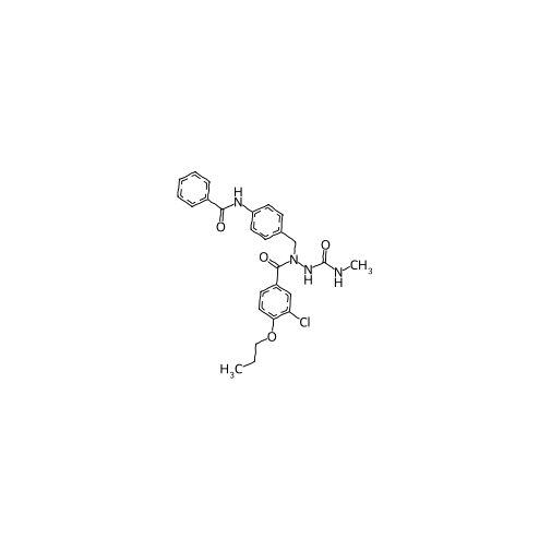 CCCOc1ccc(C(=O)N(Cc2ccc(NC(=O)c3ccccc3)cc2)NC(=O)NC)cc1Cl